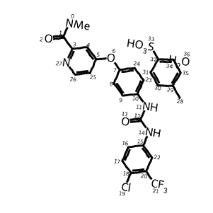 CNC(=O)c1cc(Oc2ccc(NC(=O)Nc3ccc(Cl)c(C(F)(F)F)c3)cc2)ccn1.Cc1ccc(S(=O)(=O)O)cc1.O